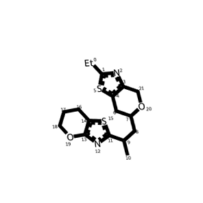 CCc1nc2c(s1)CC(CC(C)c1nc3c(s1)CCCO3)OC2